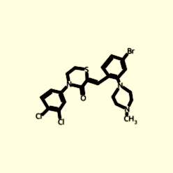 CN1CCN(c2cc(Br)ccc2/C=C2\SCCN(c3ccc(Cl)c(Cl)c3)C2=O)CC1